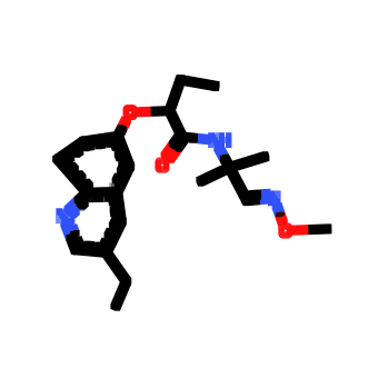 CCc1cnc2ccc(OC(CC)C(=O)NC(C)(C)/C=N/OC)cc2c1